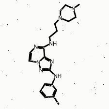 Cc1cccc(Nc2nc3c(NCCCN4CCN(C)CC4)nccn3n2)c1